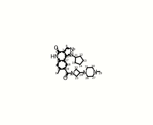 Cc1cc2[nH]c(=O)c3cnn(C4CCCC4)c3c2cc1C(=O)N1CC(N2CCN(C)CC2)C1